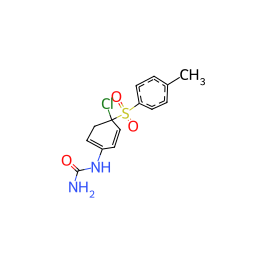 Cc1ccc(S(=O)(=O)C2(Cl)C=CC(NC(N)=O)=CC2)cc1